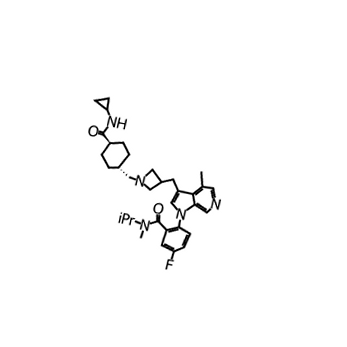 Cc1cncc2c1c(CC1CN(C[C@H]3CC[C@H](C(=O)NC4CC4)CC3)C1)cn2-c1ccc(F)cc1C(=O)N(C)C(C)C